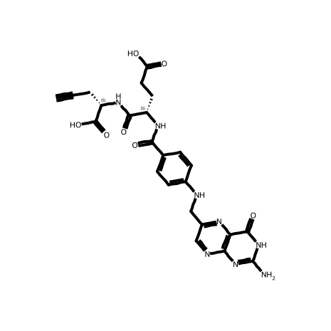 C#CC[C@H](NC(=O)[C@H](CCC(=O)O)NC(=O)c1ccc(NCc2cnc3nc(N)[nH]c(=O)c3n2)cc1)C(=O)O